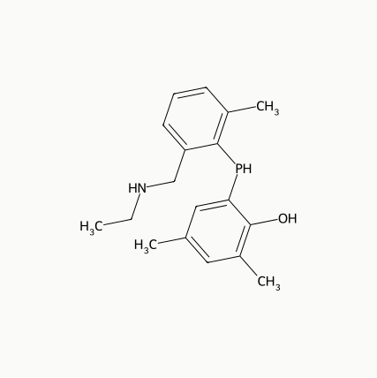 CCNCc1cccc(C)c1Pc1cc(C)cc(C)c1O